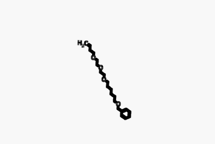 C=CCCOCCOCCOCCCCCCOCc1ccccc1